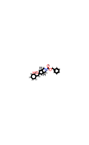 O=C(OCc1ccccc1)N1C[C@@H]2C[C@@](O)(CC3CCCCC3)C[C@@H]2C1